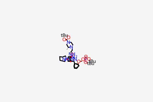 C[C@@H]1CN(C(=O)OC(C)(C)C)CCN1CCOc1cc(N2C3CCC2CN(c2cc(-c4ccccc4OCOP(=O)(OC(C)(C)C)OC(C)(C)C)nnc2N)C3)ccn1